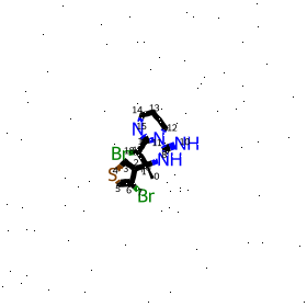 C[C@]1(C2CSC=C2Br)NC(=N)N2CCCN=C2C1Br